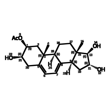 CC(=O)O[C@H]1C[C@@]2(C)C(=CC=C3[C@@H]4C[C@@H](O)[C@H](O)[C@@]4(C)CC[C@@H]32)C[C@H]1O